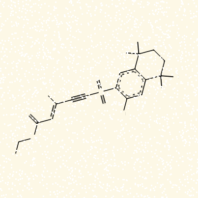 CCOC(=O)/C=C(\C)C#CS(=O)(=O)c1cc2c(cc1C)C(C)(C)CCC2(C)C